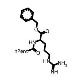 CCCCCC(=O)NC(CCCNC(=N)N)C(=O)OCc1ccccc1